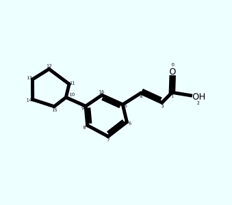 O=C(O)C=Cc1cccc(C2CCCCC2)c1